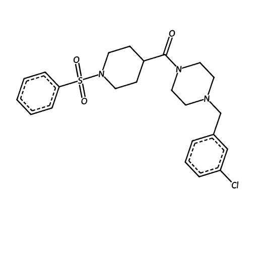 O=C(C1CCN(S(=O)(=O)c2ccccc2)CC1)N1CCN(Cc2cccc(Cl)c2)CC1